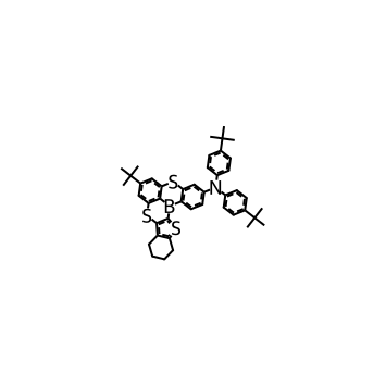 CC(C)(C)c1ccc(N(c2ccc(C(C)(C)C)cc2)c2ccc3c(c2)Sc2cc(C(C)(C)C)cc4c2B3c2sc3c(c2S4)CCCC3)cc1